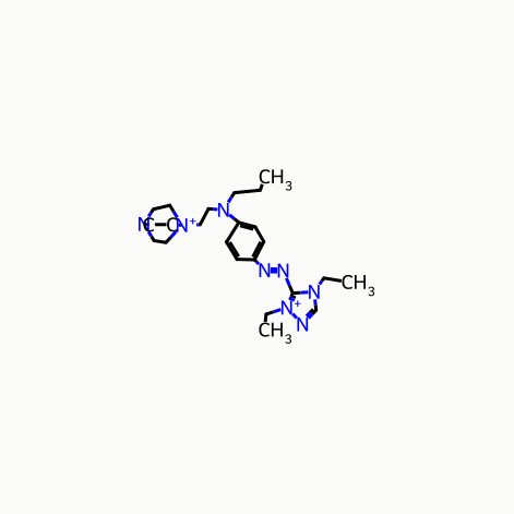 CCCN(CC[N+]12CCN(CC1)CC2)c1ccc(/N=N/c2n(CC)cn[n+]2CC)cc1